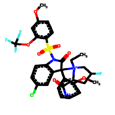 CC[N+]1(C2(c3ccccc3OC)C(=O)N(S(=O)(=O)c3ccc(OC)cc3OC(F)(F)F)c3ccc(Cl)cc32)CC(F)C[C@H]1C(N)=O